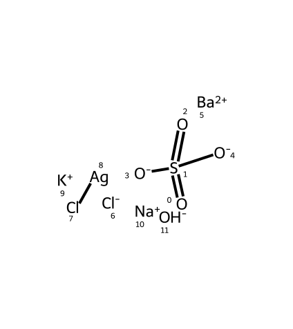 O=S(=O)([O-])[O-].[Ba+2].[Cl-].[Cl][Ag].[K+].[Na+].[OH-]